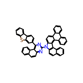 c1ccc2c(c1)ccc1nc(-n3c4ccc5ccccc5c4c4c5c6ccccc6c6ccccc6c5ccc43)nc(-c3ccc4c(c3)sc3ccccc34)c12